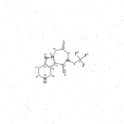 C=C1CN(CC(F)(F)F)C(=O)c2c3c(nn2C1)CCNC3